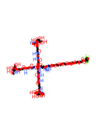 CC(=O)N[C@H]1[C@H](OCCCCC(=O)NCCCNC(=O)CCOCC(COCCC(=O)NCCCNC(=O)CCCCO[C@@H]2O[C@H](CO)[C@H](O)[C@H](O)[C@H]2NC(C)=O)(COCCC(=O)NCCCNC(=O)CCCCO[C@@H]2O[C@H](CO)[C@H](O)[C@H](O)[C@H]2NC(C)=O)NC(=O)CC/C(=C/NCCOCCOCCOCCOCCOCCOCCOCCOCCC(=O)Oc2c(F)c(F)c(F)c(F)c2F)N=N)O[C@H](CO)[C@H](O)[C@@H]1O